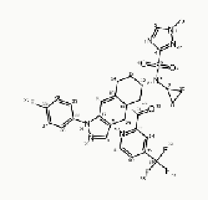 Cn1cnc(S(=O)(=O)N(C2CC2)[C@H]2CCC3=Cc4c(cnn4-c4ccc(F)cc4)C[C@]3(C(=O)c3cc(C(F)(F)F)ccn3)C2)n1